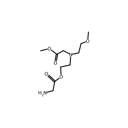 COCCN(CCOC(=O)CN)CC(=O)OC